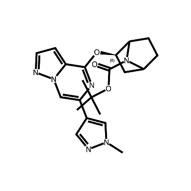 Cn1cc(-c2cn3nccc3c(O[C@@H]3CC4CCC3N4C(=O)OC(C)(C)C)n2)cn1